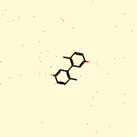 Cc1ccc(O)cc1-c1cc(P)ccc1C